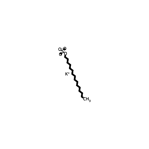 CCCCCCCCCCCCCCCCOS(=O)(=O)[O-].[K+]